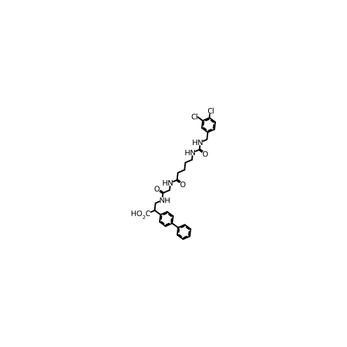 O=C(CCCCNC(=O)NCc1ccc(Cl)c(Cl)c1)NCC(=O)NCC(C(=O)O)c1ccc(-c2ccccc2)cc1